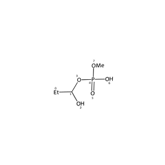 CCC(O)OP(=O)(O)OC